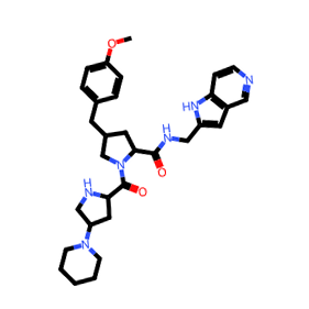 COc1ccc(CC2CC(C(=O)NCc3cc4cnccc4[nH]3)N(C(=O)C3CC(N4CCCCC4)CN3)C2)cc1